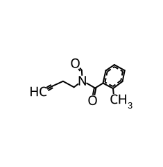 C#CCCN(C=O)C(=O)c1ccccc1C